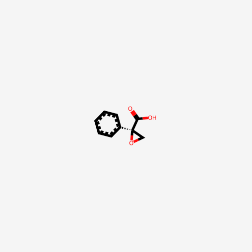 O=C(O)[C@@]1(c2ccccc2)CO1